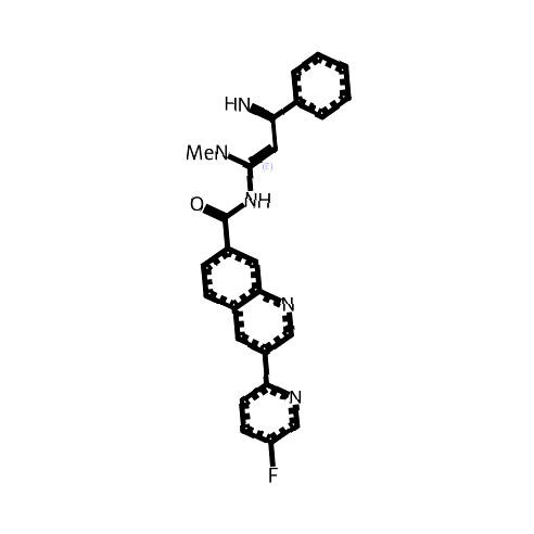 CN/C(=C\C(=N)c1ccccc1)NC(=O)c1ccc2cc(-c3ccc(F)cn3)cnc2c1